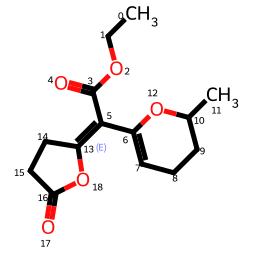 CCOC(=O)/C(C1=CCCC(C)O1)=C1\CCC(=O)O1